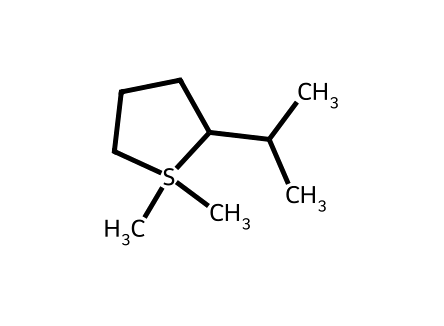 CC(C)C1CCCS1(C)C